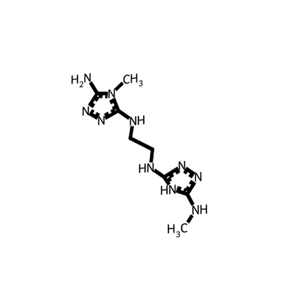 CNc1nnc(NCCNc2nnc(N)n2C)[nH]1